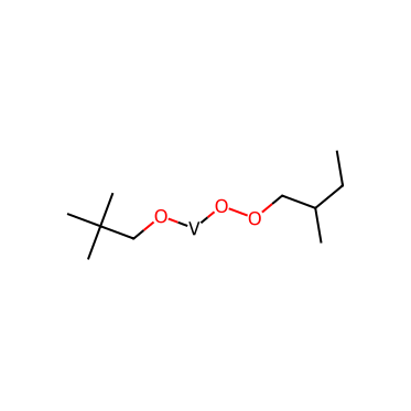 CCC(C)CO[O][V][O]CC(C)(C)C